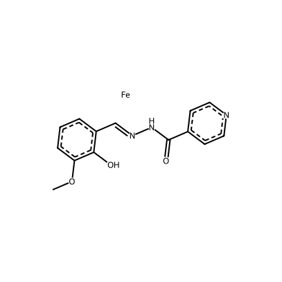 COc1cccc(C=NNC(=O)c2ccncc2)c1O.[Fe]